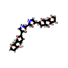 c1cc2sc3cc(-c4cnc(-c5ncc(-c6cc7sc8ccsc8c7s6)s5)s4)sc3c2s1